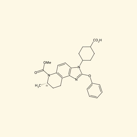 COC(=O)N1c2ccc3c(nc(Oc4ccccc4)n3C3CCC(C(=O)O)CC3)c2CC[C@@H]1C